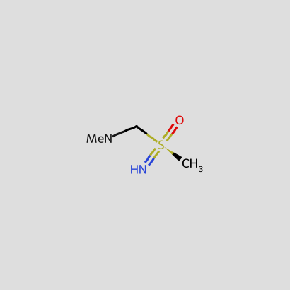 CNC[S@@](C)(=N)=O